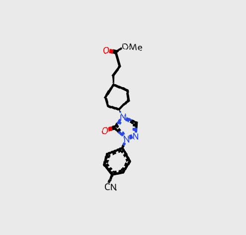 COC(=O)CC[C@H]1CC[C@H](n2cnn(-c3ccc(C#N)cc3)c2=O)CC1